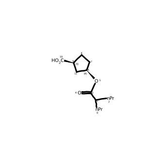 CCCC(CCC)C(=O)O[C@@H]1CC[C@H](C(=O)O)C1